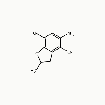 CC1Cc2c(C#N)c(N)cc(Cl)c2O1